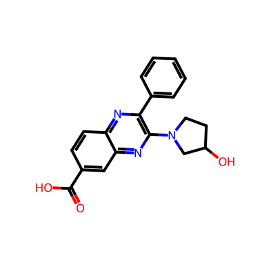 O=C(O)c1ccc2nc(-c3ccccc3)c(N3CCC(O)C3)nc2c1